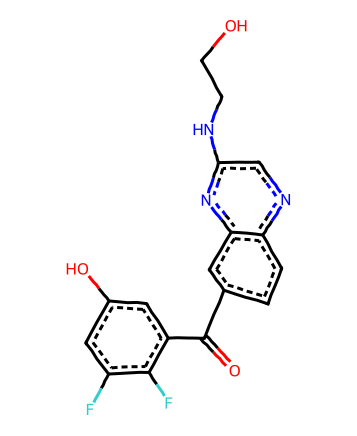 O=C(c1ccc2ncc(NCCO)nc2c1)c1cc(O)cc(F)c1F